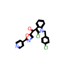 O=C(c1cnc(-c2ccncc2)o1)c1c(Cl)n(Cc2ccc(Cl)cc2)c2ccccc12